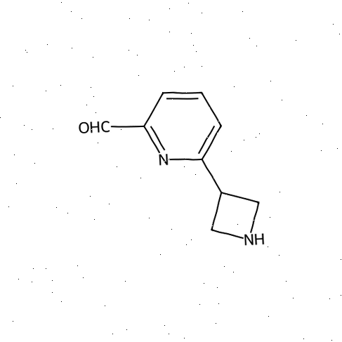 O=Cc1cccc(C2CNC2)n1